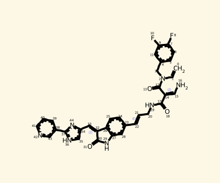 C=CN(Cc1ccc(F)c(F)c1)C(=O)/C(=C\N)C(=O)NC/C=C/c1ccc2c(c1)NC(=O)/C2=C\c1c[nH]c(-c2cccnc2)n1